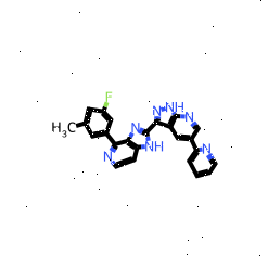 Cc1cc(F)cc(-c2nccc3[nH]c(-c4n[nH]c5ncc(-c6ccccn6)cc45)nc23)c1